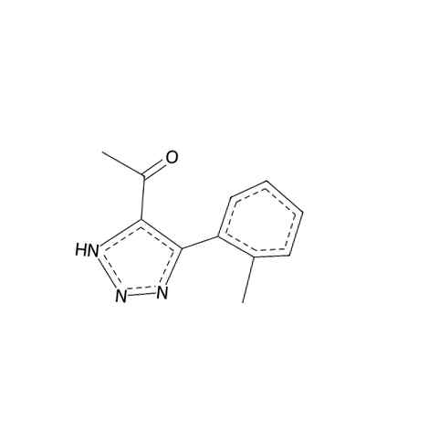 CC(=O)c1[nH]nnc1-c1ccccc1C